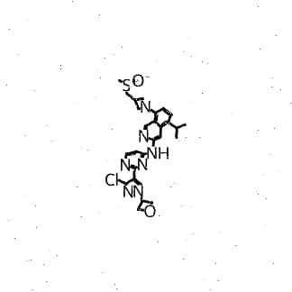 CC(C)c1ccc(N2CC(C[S+](C)[O-])C2)c2cnc(Nc3ccnc(-c4cn(C5COC5)nc4Cl)n3)cc12